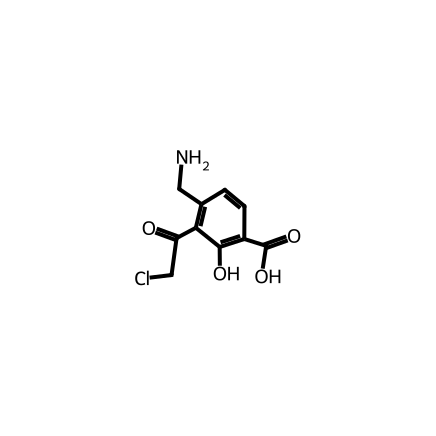 NCc1ccc(C(=O)O)c(O)c1C(=O)CCl